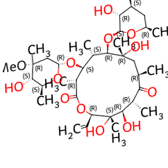 C=C[C@H]1OC(=O)[C@H](C)[C@@H](O[C@H]2C[C@@](C)(OC)[C@@H](O)[C@H](C)O2)[C@H](C)[C@@H](O[C@@H]2O[C@H](C)C[C@H](NC)[C@H]2O)[C@](C)(O)C[C@@H](C)C(=O)[C@H](C)[C@@H](O)[C@]1(C)O